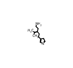 CC(C)C(CCN)CCC1=CN=CC1